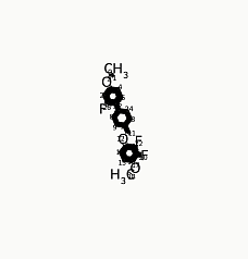 CCOc1ccc(C2CCC(COc3ccc(OC)c(F)c3F)CC2)c(F)c1